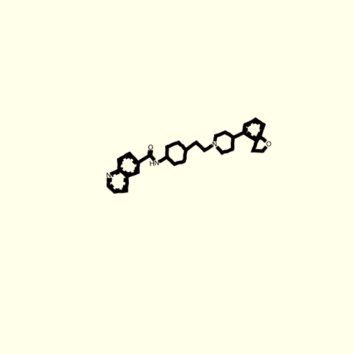 O=C(NC1CCC(CCN2CCC(c3cccc4c3CCO4)CC2)CC1)c1ccc2ncccc2c1